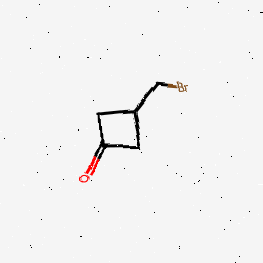 O=C1CC(CBr)C1